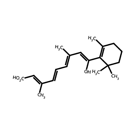 CC(=CC=CC(C)=CC(=O)O)C=C(O)C1=C(C)CCCC1(C)C